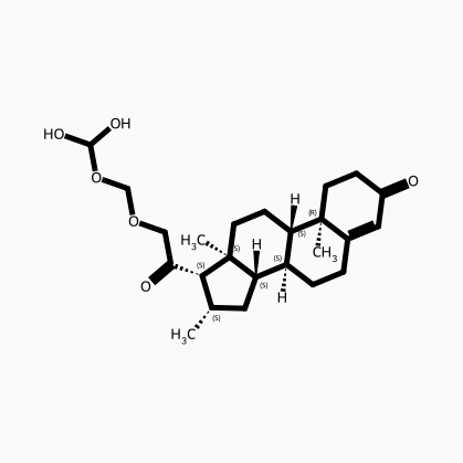 C[C@H]1C[C@H]2[C@@H]3CCC4=CC(=O)CC[C@]4(C)[C@H]3CC[C@]2(C)[C@H]1C(=O)COCOC(O)O